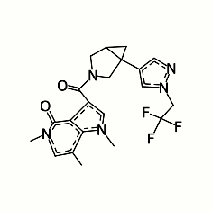 Cc1cn(C)c(=O)c2c(C(=O)N3CC4CC4(c4cnn(CC(F)(F)F)c4)C3)cn(C)c12